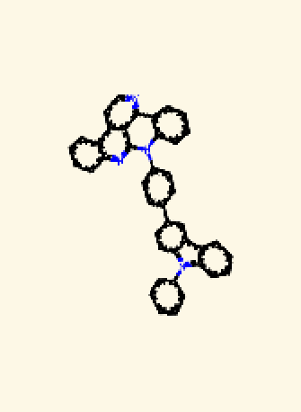 c1ccc(-n2c3ccccc3c3cc(-c4ccc(N5c6ccccc6-c6nccc7c6c5nc5ccccc57)cc4)ccc32)cc1